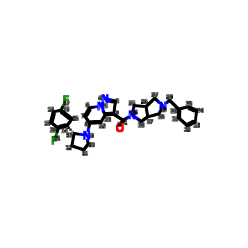 O=C(c1cnn2ccc(N3CCC[C@@H]3c3cc(F)ccc3F)cc12)N1CC2CN(Cc3ccccc3)CC2C1